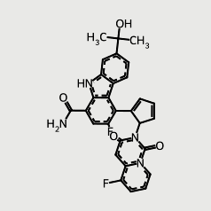 CC(C)(O)c1ccc2c(c1)[nH]c1c(C(N)=O)cc(F)c(C3=CC=CC3n3c(=O)cc4c(F)cccn4c3=O)c12